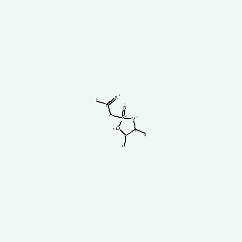 CC(=S)CP1(=O)OC(C)C(C)O1